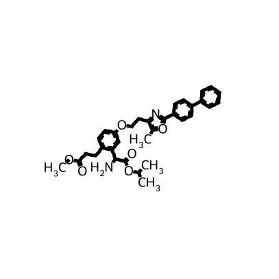 COC(=O)CCc1ccc(OCCc2nc(-c3ccc(-c4ccccc4)cc3)oc2C)cc1C(N)C(=O)OC(C)C